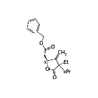 C=C1[C@H](CC(=O)OCc2ccccc2)OC(=O)C1(CC)CCC